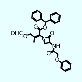 CC(COC=O)=C(C(=O)OC(c1ccccc1)c1ccccc1)N1CC(NC(=O)COc2ccccc2)C1=O